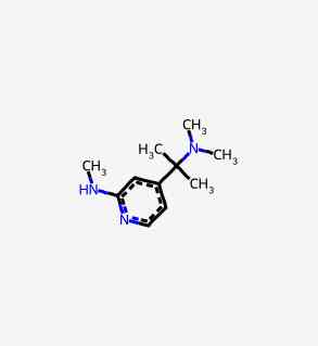 CNc1cc(C(C)(C)N(C)C)ccn1